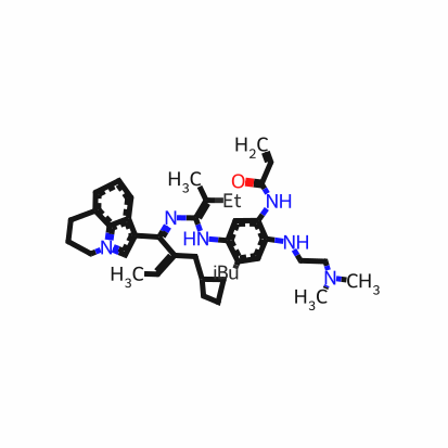 C=CC(=O)Nc1cc(NC(/N=C(\C(=C/C)CC2CCC2)c2cn3c4c(cccc24)CCC3)=C(/C)CC)c(C(C)CC)cc1NCCN(C)C